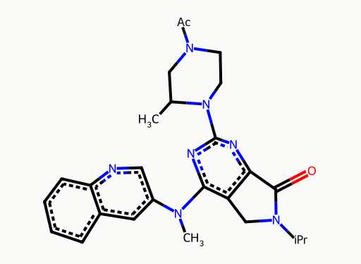 CC(=O)N1CCN(c2nc3c(c(N(C)c4cnc5ccccc5c4)n2)CN(C(C)C)C3=O)C(C)C1